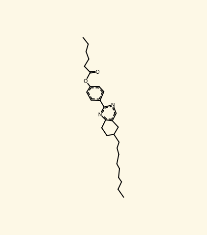 CCCCCCCCCC1CCc2nc(-c3ccc(OC(=O)CCCCC)cc3)ncc2C1